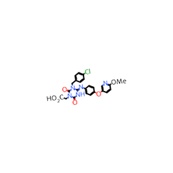 COc1ccc(Oc2ccc(/N=c3\[nH]c(=O)n(CC(=O)O)c(=O)n3Cc3ccc(Cl)cc3)cc2)cn1